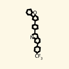 FC(F)(F)c1ccc(-c2ccc3cc(-c4ccc(-c5ccc6oc7ccccc7c6c5)cc4)cnc3c2)cc1